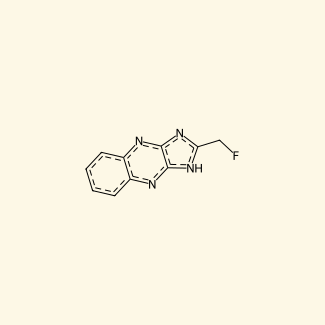 FCc1nc2nc3ccccc3nc2[nH]1